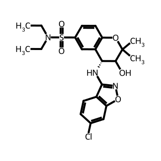 CCN(CC)S(=O)(=O)c1ccc2c(c1)[C@@H](Nc1noc3cc(Cl)ccc13)C(O)C(C)(C)O2